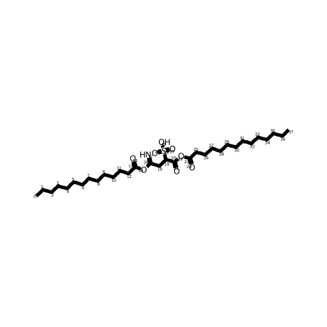 CCCCCCCCCCCCCC(=O)OC(=N)CC(C(=O)OC(=O)CCCCCCCCCCCCC)S(=O)(=O)O